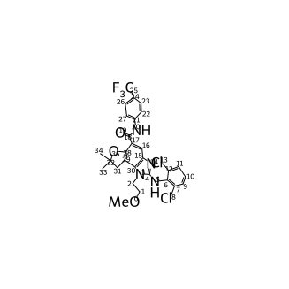 COCCn1c(Nc2c(Cl)cccc2Cl)nc2cc(C(=O)Nc3ccc(C(F)(F)F)cc3)c3c(c21)CC(C)(C)O3